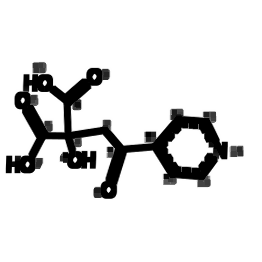 O=C(CC(O)(C(=O)O)C(=O)O)c1ccncc1